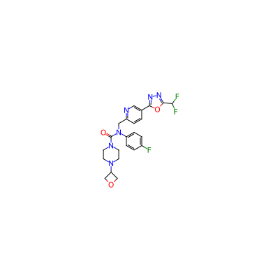 O=C(N1CCN(C2COC2)CC1)N(Cc1ccc(-c2nnc(C(F)F)o2)cn1)c1ccc(F)cc1